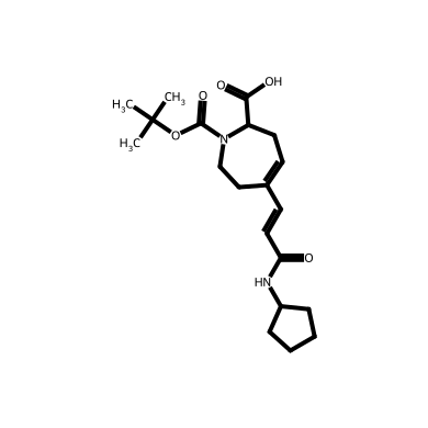 CC(C)(C)OC(=O)N1CCC(/C=C/C(=O)NC2CCCC2)=CCC1C(=O)O